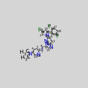 CN(C)c1ccc(/C=C/c2cnc3ccc(N4C[C@@H](F)C[C@@H]4c4cc(F)ccc4F)nn23)nc1